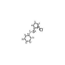 Clp1cccc1SCc1ccccc1